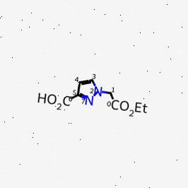 CCOC(=O)Cn1ccc(C(=O)O)n1